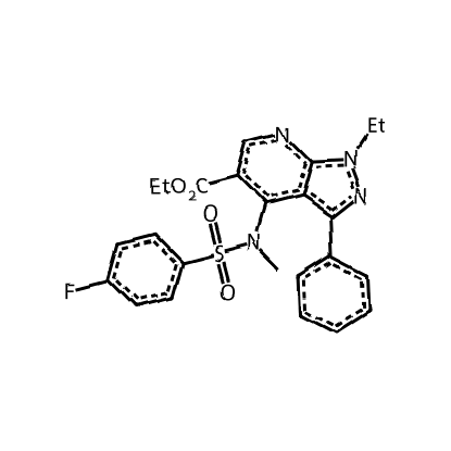 CCOC(=O)c1cnc2c(c(-c3ccccc3)nn2CC)c1N(C)S(=O)(=O)c1ccc(F)cc1